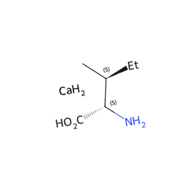 CC[C@H](C)[C@H](N)C(=O)O.[CaH2]